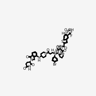 CC(C)(C)[C@H](NC(=O)c1cc2cc(C(F)(F)P(=O)(O)O)ccc2s1)C(=O)N1CCC[C@H]1C(=O)N(CCC(=O)N1CCC(Nc2cccc3c2CN(C2CCC(=O)NC2=O)C3=O)CC1)c1ccc(Br)cc1